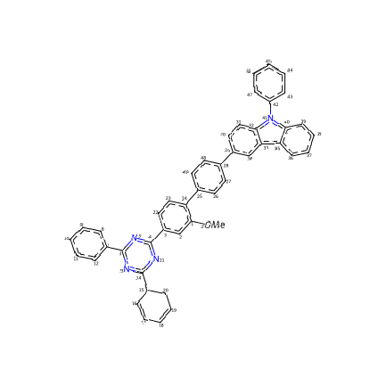 COc1cc(-c2nc(-c3ccccc3)nc(C3C=CC=CC3)n2)ccc1-c1ccc(-c2ccc3c(c2)c2ccccc2n3-c2ccccc2)cc1